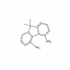 CC1(C)c2cccc(P)c2-c2c(P)cccc21